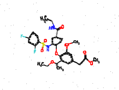 C=C(OCC)c1cc(CC(=O)OC)cc(OC)c1Oc1ccc(C(=O)NCC)cc1NS(=O)(=O)c1ccc(F)cc1F